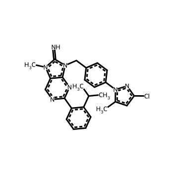 Cc1cc(Cl)nn1-c1ccc(Cn2c(=N)n(C)c3cnc(-c4ccccc4C(C)C)nc32)cc1